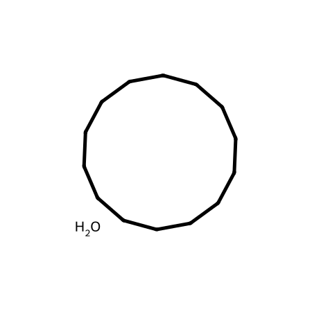 C1CCCCCCCCCCCCC1.O